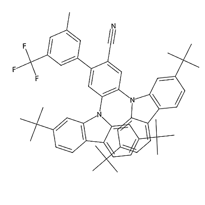 Cc1cc(-c2cc(-n3c4cc(C(C)(C)C)ccc4c4ccc(C(C)(C)C)cc43)c(-n3c4cc(C(C)(C)C)ccc4c4ccc(C(C)(C)C)cc43)cc2C#N)cc(C(F)(F)F)c1